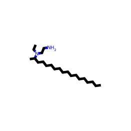 CCCCCCCCCCCCCCCCC(C)N(CC)CCN